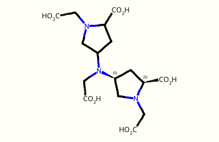 O=C(O)CN1CC(N(CC(=O)O)[C@H]2C[C@@H](C(=O)O)N(CC(=O)O)C2)CC1C(=O)O